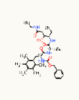 CCCC[C@H](NC(=O)[C@H](Cc1c(C)c(C)c(C)c(C)c1C)NC(=O)OCc1ccccc1)C(=O)NC(CC(C)C)C(O)CC(=O)NCC(C)CC